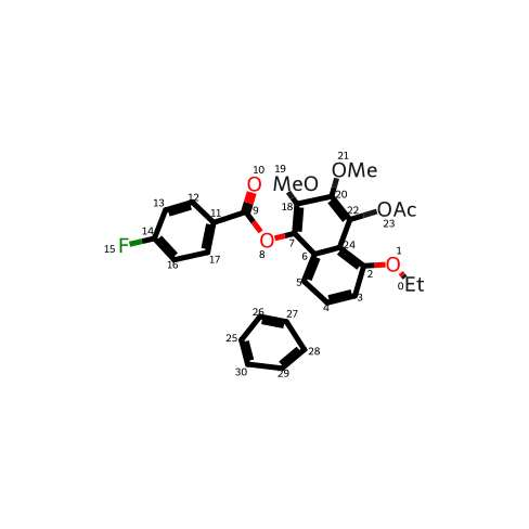 CCOc1cccc2c(OC(=O)c3ccc(F)cc3)c(OC)c(OC)c(OC(C)=O)c12.c1ccccc1